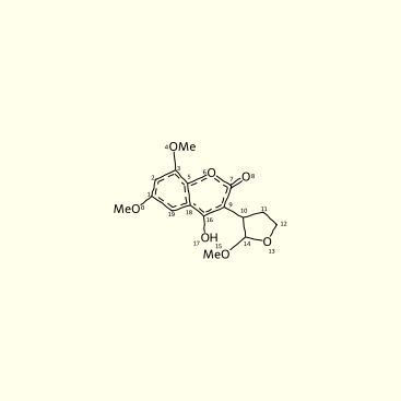 COc1cc(OC)c2oc(=O)c(C3CCOC3OC)c(O)c2c1